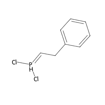 Cl[PH](Cl)=CCc1ccccc1